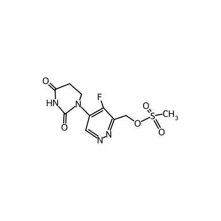 CS(=O)(=O)OCc1nncc(N2CCC(=O)NC2=O)c1F